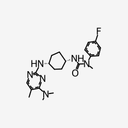 Cc1cnc(N[C@H]2CC[C@@H](NC(=O)N(C)c3ccc(F)cc3)CC2)nc1N(C)C